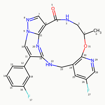 CC1CNC(=O)c2cnn3cc(-c4cccc(F)c4)c(nc23)NCc2cc(F)cnc2O1